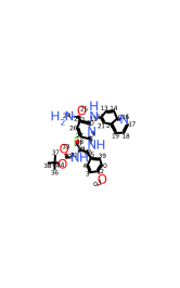 COc1ccc([C@@H](Nc2nc(Nc3ccc4ncccc4c3)c(C(N)=O)cc2F)[C@H](C)NC(=O)OC(C)(C)C)cc1